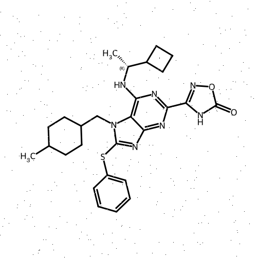 CC1CCC(Cn2c(Sc3ccccc3)nc3nc(-c4noc(=O)[nH]4)nc(N[C@H](C)C4CCC4)c32)CC1